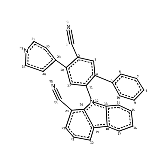 N#Cc1cc(-c2ccccc2)c(-n2c3ccccc3c3cccc(C#N)c32)cc1-c1ccncc1